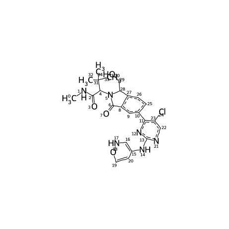 CNC(=O)C(N1C(=O)c2cc(-c3nc(NC4=CNOC=C4)ncc3Cl)ccc2C1CO)C(C)(C)C